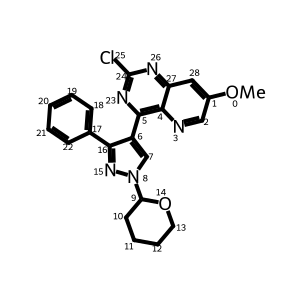 COc1cnc2c(-c3cn(C4CCCCO4)nc3-c3ccccc3)nc(Cl)nc2c1